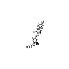 OCCOc1ccc(C#Cc2ncc(-c3ccc(Cl)cc3)cc2F)cc1Br